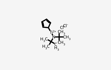 CC(C)(C)[N]([Ti+2][CH]1C=CC=C1)C(C)(C)C.[Cl-].[Cl-]